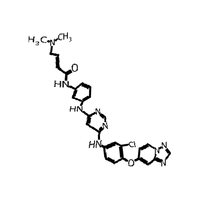 CN(C)C/C=C/C(=O)Nc1cccc(Nc2cc(Nc3ccc(Oc4ccn5ncnc5c4)c(Cl)c3)ncn2)c1